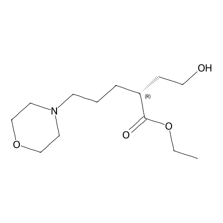 CCOC(=O)[C@@H](CCO)CCCN1CCOCC1